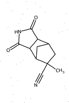 CC1(C#N)CC2CC1C1C(=O)NC(=O)C21